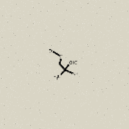 CCOCC(C)(N)C=O